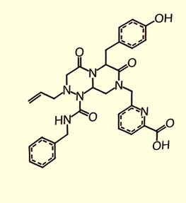 C=CCN1CC(=O)N2C(Cc3ccc(O)cc3)C(=O)N(Cc3cccc(C(=O)O)n3)CC2N1C(=O)NCc1ccccc1